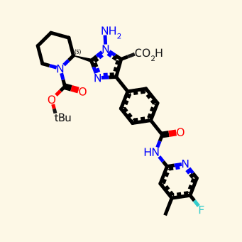 Cc1cc(NC(=O)c2ccc(-c3nc([C@@H]4CCCCN4C(=O)OC(C)(C)C)n(N)c3C(=O)O)cc2)ncc1F